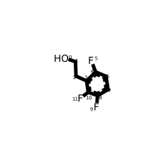 OCCc1c(F)ccc(F)c1F